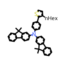 CCCCCCc1ccsc1-c1ccc(N(c2ccc3c(c2)C(C)(C)c2ccccc2-3)c2ccc3c(c2)C(C)(C)c2ccccc2-3)cc1